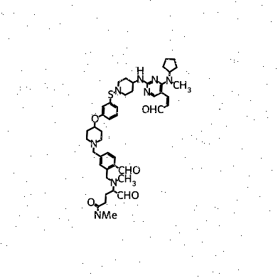 CNC(=O)CCC(C=O)N(C)Cc1cc(CN2CCC(Oc3cccc(SN4CCC(Nc5ncc(/C=C\C=O)c(N(C)C6CCCC6)n5)CC4)c3)CC2)ccc1C=O